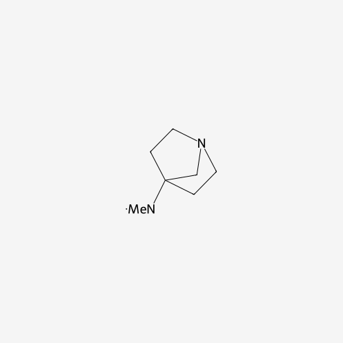 C[N]C12CCN(CC1)C2